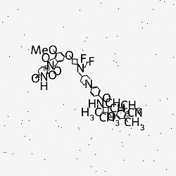 COc1cc(OC2CC(N(CC(F)F)CC3CCN(c4ccc(C(=O)NC5C(C)(C)C(Oc6cc(C)c(C#N)c(C)c6)C5(C)C)cc4)CC3)C2)cc2c1C(=O)N([C@@H]1CCC(=O)NC1=O)C2=O